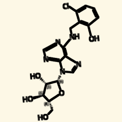 OC[C@H]1O[C@@H](n2cnc3c(NCc4c(O)cccc4Cl)ncnc32)[C@@H](O)[C@@H]1O